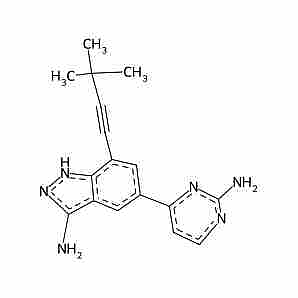 CC(C)(C)C#Cc1cc(-c2ccnc(N)n2)cc2c(N)n[nH]c12